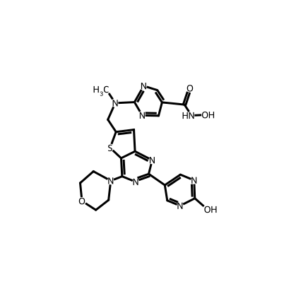 CN(Cc1cc2nc(-c3cnc(O)nc3)nc(N3CCOCC3)c2s1)c1ncc(C(=O)NO)cn1